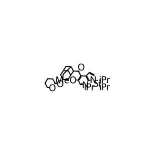 COc1cnc2c(ccn2[Si](C(C)C)(C(C)C)C(C)C)c1C(=O)C1C2CC3CC1CC(OC1CCCCO1)(C3)C2